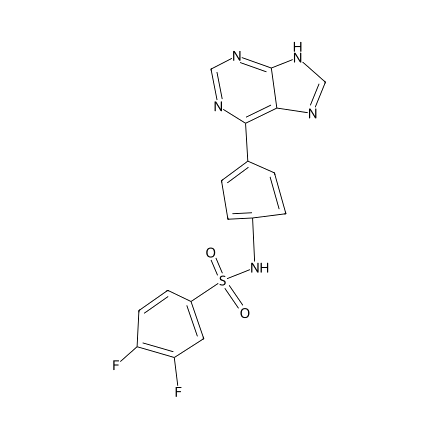 O=S(=O)(Nc1ccc(-c2ncnc3[nH]cnc23)cc1)c1ccc(F)c(F)c1